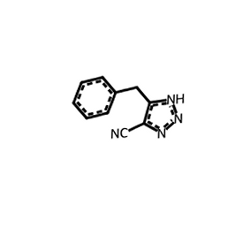 N#Cc1nn[nH]c1Cc1ccccc1